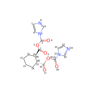 O=C(OC(=O)n1ccnc1)[C@@H]1CCCC[C@H]1C(=O)OC(=O)n1ccnc1